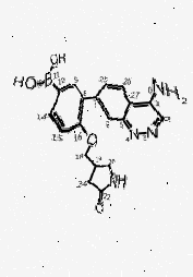 Nc1cnnc2cc(-c3cc(B(O)O)ccc3OCC3CNC(=O)C3)ccc12